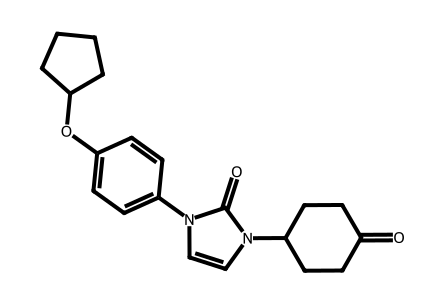 O=C1CCC(n2ccn(-c3ccc(OC4CCCC4)cc3)c2=O)CC1